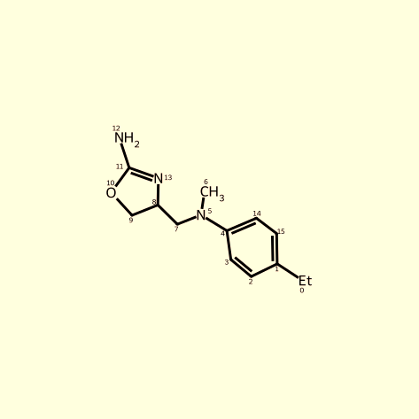 CCc1ccc(N(C)CC2COC(N)=N2)cc1